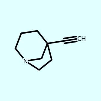 C#CC12CCCN(CC1)C2